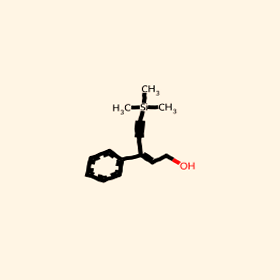 C[Si](C)(C)C#CC(=CCO)c1ccccc1